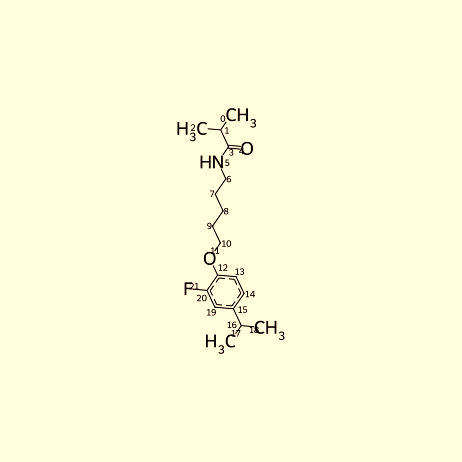 CC(C)C(=O)NCCCCCOc1ccc(C(C)C)cc1F